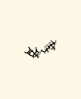 CC1C2CC(C1C)C(C(=O)OCCC(F)(F)C(F)(F)C(F)(C(F)(F)F)C(F)(F)F)(C(F)(F)F)C2